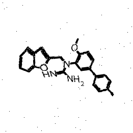 COc1ccc(-c2ccc(C)cc2)cc1N(Cc1cc2ccccc2o1)C(=N)N